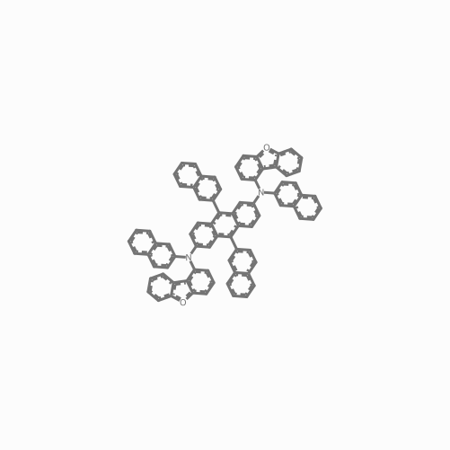 c1ccc2cc(-c3c4ccc(N(c5ccc6ccccc6c5)c5cccc6oc7ccccc7c56)cc4c(-c4ccc5ccccc5c4)c4ccc(N(c5ccc6ccccc6c5)c5cccc6oc7ccccc7c56)cc34)ccc2c1